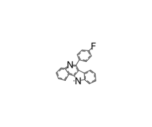 Fc1ccc(-c2nc3ccccc3c3c2-c2ccccc2[N]3)cc1